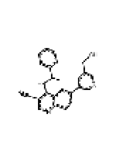 CC(Nc1c(C#N)cnc2ccc(-c3cncc(CO)c3)cc12)c1ccccc1